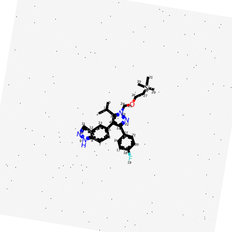 CC(C)c1c(-c2ccc3[nH]ncc3c2)c(-c2ccc(F)cc2)nn1COCC[Si](C)(C)C